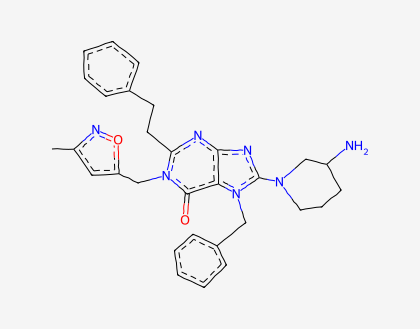 Cc1cc(Cn2c(CCc3ccccc3)nc3nc(N4CCCC(N)C4)n(Cc4ccccc4)c3c2=O)on1